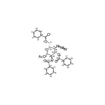 CC(=O)OC1O[C@H](COC(=O)c2ccccc2)[C@@H](N=[N+]=[N-])[C@H](OC(=O)c2ccccc2)[C@H]1OC(=O)c1ccccc1